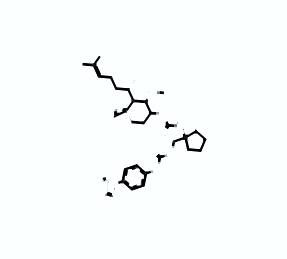 COC1C(OC(=O)NC2(COC(=O)Oc3ccc([N+](=O)[O-])cc3)CCCC2)CC[C@]2(CO2)C1[C@H](C)CCC=C(C)C